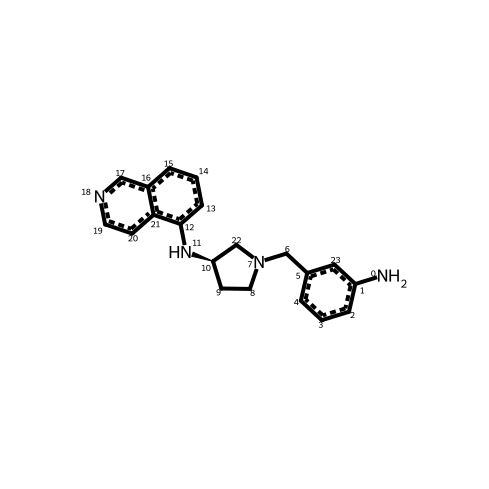 Nc1cccc(CN2CC[C@@H](Nc3cccc4cnccc34)C2)c1